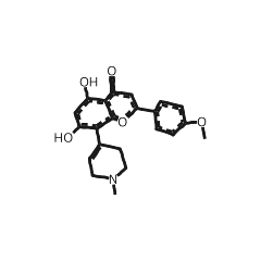 COc1ccc(-c2cc(=O)c3c(O)cc(O)c(C4=CCN(C)CC4)c3o2)cc1